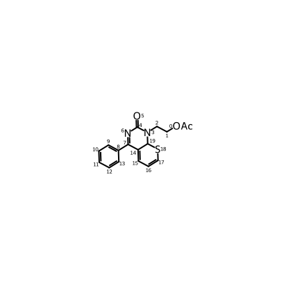 CC(=O)OCCN1C(=O)N=C(c2ccccc2)C2=CC=CSC21